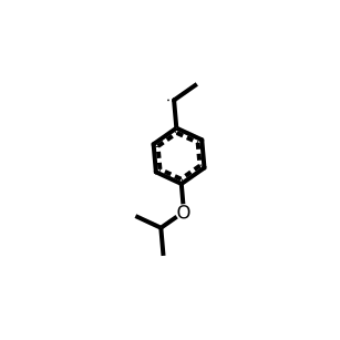 C[CH]c1ccc(OC(C)C)cc1